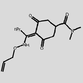 C=CCONC(CCC)=C1C(=O)CC(C(=O)N(C)C)CC1=O